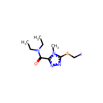 CCN(CC)C(=O)c1nnc(SCI)n1C